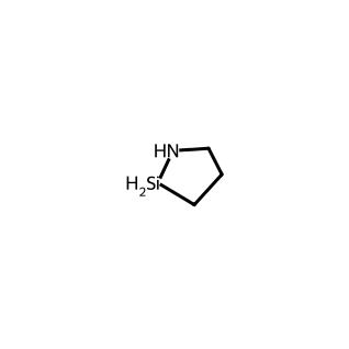 C1CN[SiH2]C1